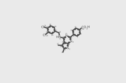 Cc1sc2nc(-c3ccc(C(=O)O)cc3)nc(NCc3ccc(Cl)c(Cl)c3)c2c1C